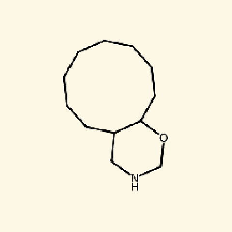 C1CCCCC2OCNCC2CCC1